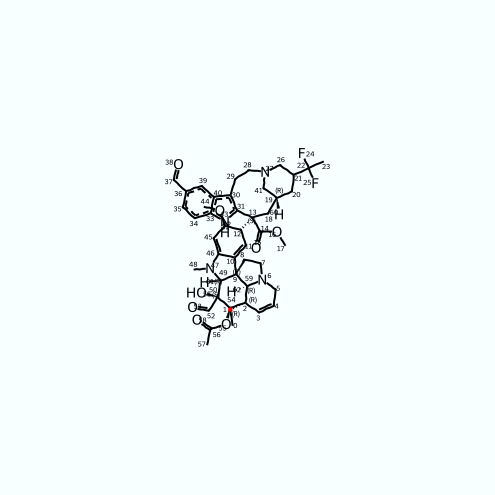 CC[C@]12C=CCN3CC[C@@]4(C5=CC([C@@]6(C(=O)OC)C[C@H]7CC(C(C)(F)F)CN(CCc8c6[nH]c6ccc(C=O)cc86)C7)C(OC)C=C5N(C)[C@H]4[C@@](O)(C=O)[C@@H]1OC(C)=O)[C@@H]32